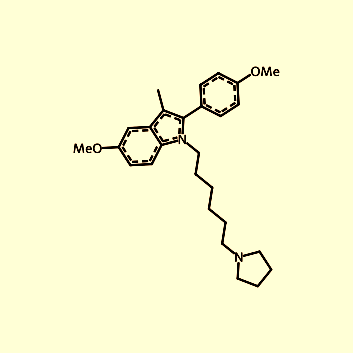 COc1ccc(-c2c(C)c3cc(OC)ccc3n2CCCCCCN2CCCC2)cc1